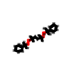 CC(C)(CCC(C)(C)OOC(C)(C)c1ccccc1)OOC(C)(C)c1ccccc1